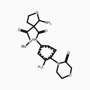 Cc1cc(NC(=O)C2(C(=O)OC(C)(C)C)CCOC2N)ccc1N1CCOCC1=O